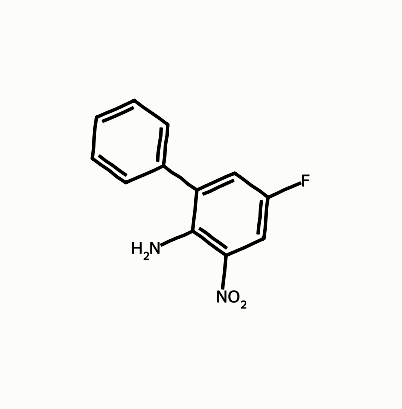 Nc1c(-c2ccccc2)cc(F)cc1[N+](=O)[O-]